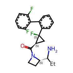 CCC(N)[C@@H]1CCN1C(=O)[C@@H]1C[C@@]1(F)c1ccccc1-c1c(F)cccc1F